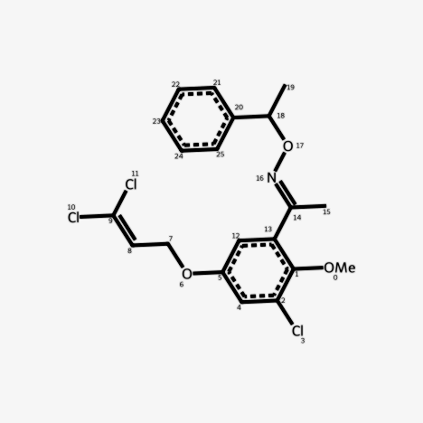 COc1c(Cl)cc(OCC=C(Cl)Cl)cc1/C(C)=N/OC(C)c1ccccc1